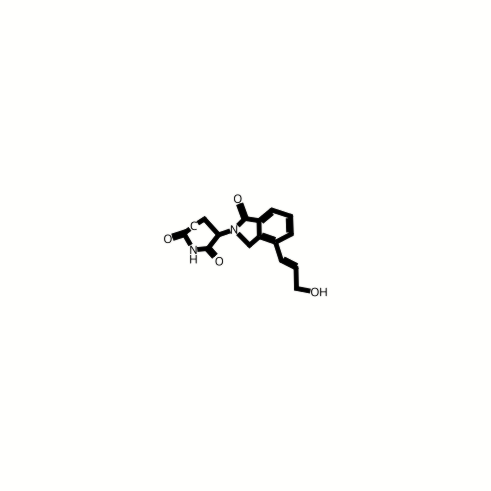 O=C1CCC(N2Cc3c(/C=C/CO)cccc3C2=O)C(=O)N1